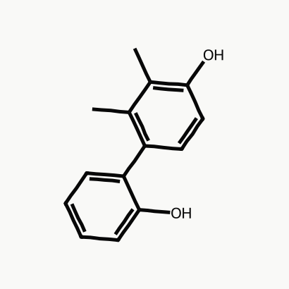 Cc1c(O)ccc(-c2ccccc2O)c1C